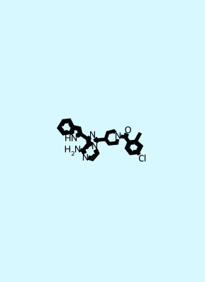 Cc1cc(Cl)ccc1C(=O)N1CCC(c2nc(-c3cc4ccccc4[nH]3)c3c(N)nccn23)CC1